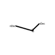 CCCCCCCCCCCCCCCCCCCCCCCCCCCCCCCCCCC(=O)OCCCCCCCCCCCCCCCCCCCCCC